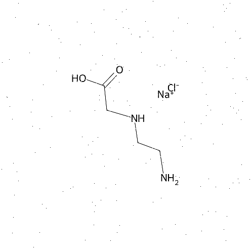 NCCNCC(=O)O.[Cl-].[Na+]